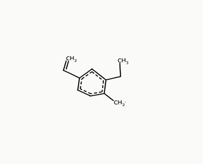 [CH2]c1ccc(C=C)cc1CC